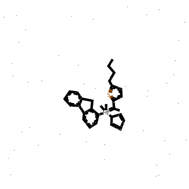 CCCCc1ccc([C](C)=[Hf]([CH3])([CH3])([c]2cccc3c2Cc2ccccc2-3)[CH]2C=CC=C2)s1